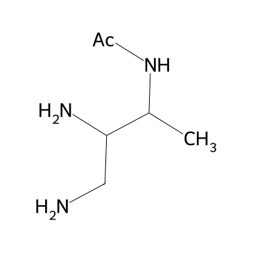 CC(=O)NC(C)C(N)CN